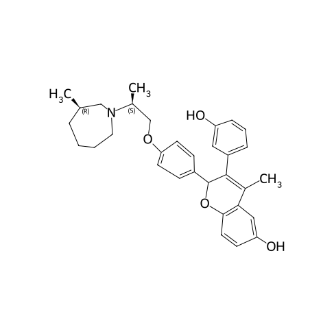 CC1=C(c2cccc(O)c2)C(c2ccc(OC[C@H](C)N3CCCC[C@@H](C)C3)cc2)Oc2ccc(O)cc21